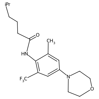 Cc1cc(N2CCOCC2)cc(C(F)(F)F)c1NC(=O)CCCC(C)C